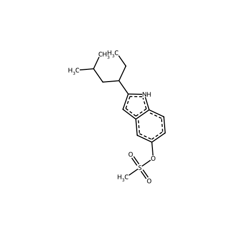 CCC(CC(C)C)c1cc2cc(OS(C)(=O)=O)ccc2[nH]1